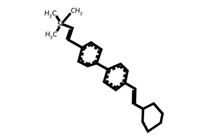 C[Si](C)(C)C=Cc1ccc(-c2ccc(C=CC3CCCCC3)cc2)cc1